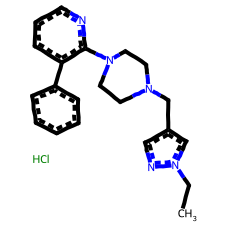 CCn1cc(CN2CCN(c3ncccc3-c3ccccc3)CC2)cn1.Cl